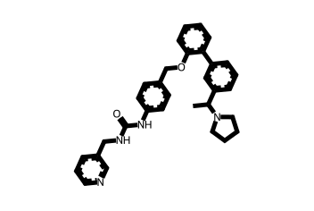 CC(c1cccc(-c2ccccc2OCc2ccc(NC(=O)NCc3cccnc3)cc2)c1)N1CCCC1